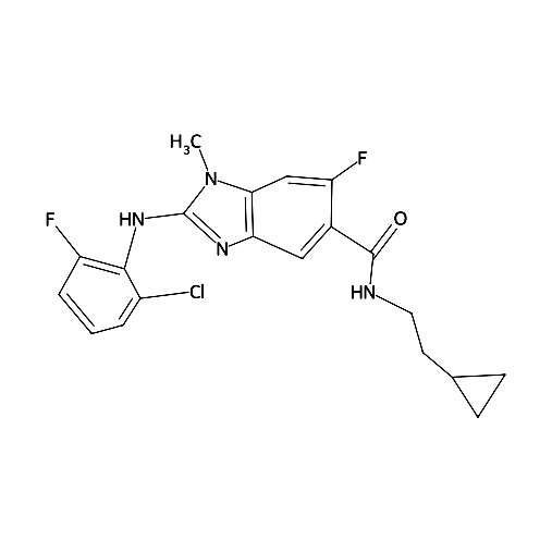 Cn1c(Nc2c(F)cccc2Cl)nc2cc(C(=O)NCCC3CC3)c(F)cc21